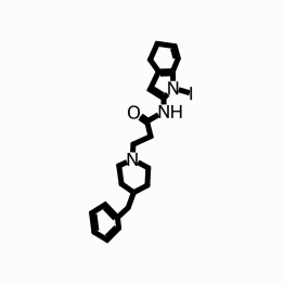 O=C(CCN1CCC(Cc2ccccc2)CC1)Nc1cc2c(n1I)C=CCC2